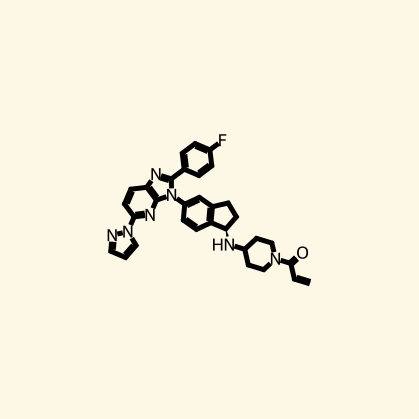 C=CC(=O)N1CCC(N[C@H]2CCc3cc(-n4c(-c5ccc(F)cc5)nc5ccc(-n6cccn6)nc54)ccc32)CC1